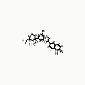 CCC(Oc1cc(F)cc(C2(OC)CCOC(C)C2)c1)c1ccc2[nH]c(=O)ccc2c1